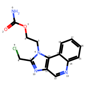 NC(=O)OCCn1c(CCl)nc2cnc3ccccc3c21